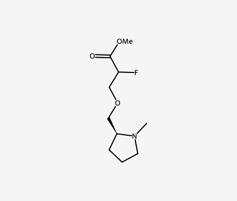 COC(=O)C(F)COC[C@@H]1CCCN1C